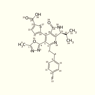 Cc1nnc(-c2c(CCc3ccc(F)cc3)nc3c(c2-c2ccc(C(=O)O)s2)C(=O)N[C@H]3C(C)C)o1